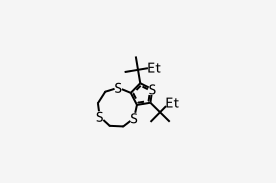 CCC(C)(C)c1sc(C(C)(C)CC)c2c1SCCSCCS2